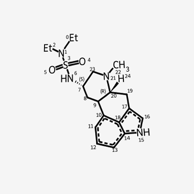 CCN(CC)S(=O)(=O)N[C@H]1CC2c3cccc4[nH]cc(c34)C[C@H]2N(C)C1